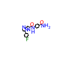 NC(=O)c1ccc(NC(=O)c2cc3nccc(-c4ccc(F)cc4)n3n2)cc1